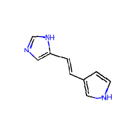 C(=Cc1cnc[nH]1)c1cc[nH]c1